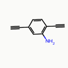 C#Cc1ccc(C#C)c(N)c1